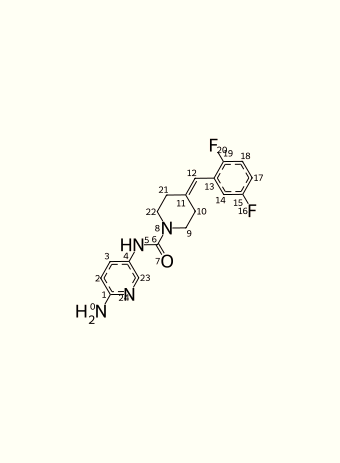 Nc1ccc(NC(=O)N2CCC(=Cc3cc(F)ccc3F)CC2)cn1